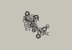 CC[C@@H](NC(=O)[C@@H](NC(=O)c1ncccc1O)[C@@H](C)OC(=O)[C@@H](C)c1ccccc1)C(=O)N1CCC[C@H]1C(=O)N(C)[C@@H](Cc1ccccc1)C(=O)N1CCC(=O)C[C@H]1C(C)=O